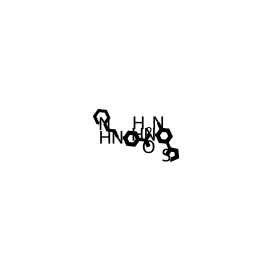 Nc1ccc(-c2cccs2)cc1NC(=O)c1ccc(NCCN2CCCCC2)cc1